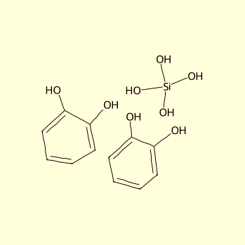 O[Si](O)(O)O.Oc1ccccc1O.Oc1ccccc1O